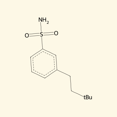 CC(C)(C)CCc1cccc(S(N)(=O)=O)c1